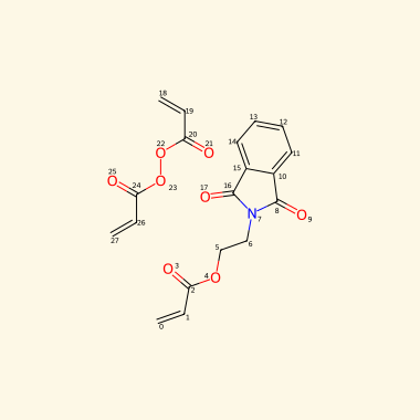 C=CC(=O)OCCN1C(=O)c2ccccc2C1=O.C=CC(=O)OOC(=O)C=C